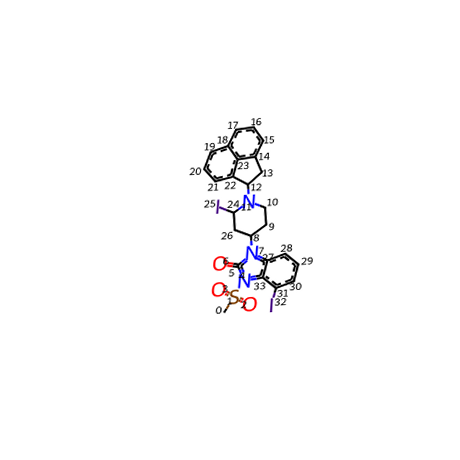 CS(=O)(=O)n1c(=O)n(C2CCN(C3Cc4cccc5cccc3c45)C(I)C2)c2cccc(I)c21